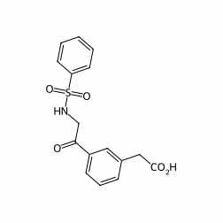 O=C(O)Cc1cccc(C(=O)CNS(=O)(=O)c2ccccc2)c1